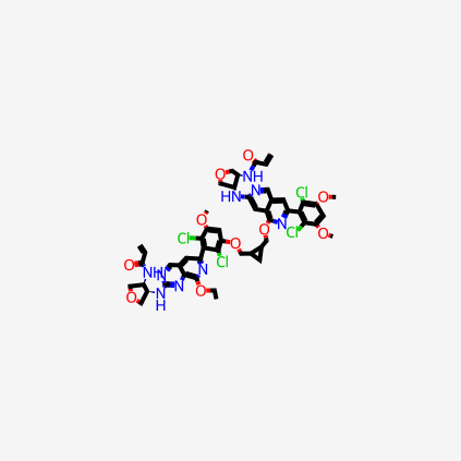 C=CC(=O)N[C@H]1COC[C@H]1Nc1cc2c(OCC3CC3COc3cc(OC)c(Cl)c(-c4cc5cnc(N[C@@H]6COC[C@@H]6NC(=O)C=C)nc5c(OCC)n4)c3Cl)nc(-c3c(Cl)c(OC)cc(OC)c3Cl)cc2cn1